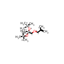 C=C(C)COC[Si](C)(O[Si](C)(C)C)O[Si](C)(C)C